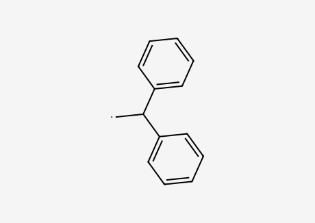 [CH2]C(c1ccccc1)c1ccccc1